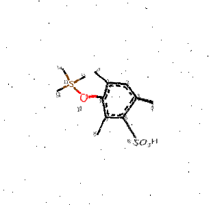 Cc1cc(C)c(S(=O)(=O)O)c(C)c1OS(C)(C)C